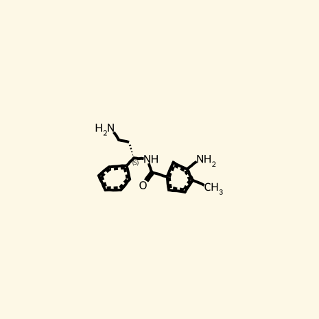 Cc1ccc(C(=O)N[C@@H](CCN)c2ccccc2)cc1N